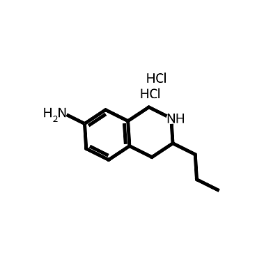 CCCC1Cc2ccc(N)cc2CN1.Cl.Cl